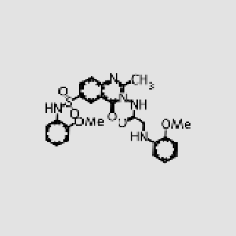 COc1ccccc1NCC(=O)Nn1c(C)nc2ccc(S(=O)(=O)Nc3ccccc3OC)cc2c1=O